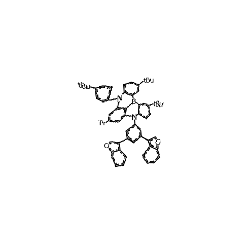 CC(C)c1cc2c3c(c1)N(c1cc(-c4coc5ccccc45)cc(-c4coc5ccccc45)c1)c1ccc(C(C)(C)C)cc1B3c1cc(C(C)(C)C)ccc1N2c1ccc(C(C)(C)C)cc1